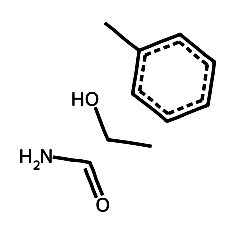 CCO.Cc1ccccc1.NC=O